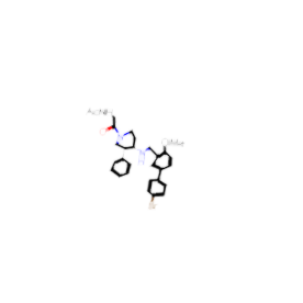 COc1ccc(-c2ccc(Br)cc2)cc1CN[C@H]1CCN(C(=O)CNC(C)=O)C[C@H]1c1ccccc1